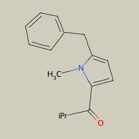 CC(C)C(=O)c1ccc(Cc2ccccc2)n1C